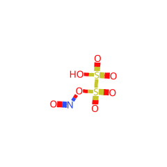 O=NOS(=O)(=O)S(=O)(=O)O